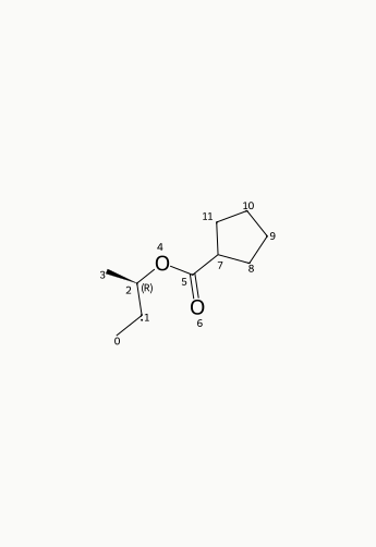 C[CH][C@@H](C)OC(=O)C1CCCC1